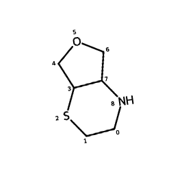 C1CSC2COCC2N1